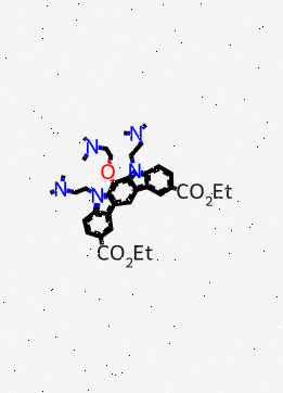 CCOC(=O)c1ccc2c(c1)c1cc3c4cc(C(=O)OCC)ccc4n(CCN(C)C)c3c(OCCN(C)C)c1n2CCN(C)C